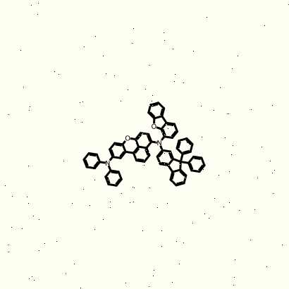 c1ccc(N(c2ccccc2)c2ccc3c(c2)-c2cccc4c(N(c5ccc6c(c5)C(c5ccccc5)(c5ccccc5)c5ccccc5-6)c5cccc6c5oc5ccccc56)ccc(c24)O3)cc1